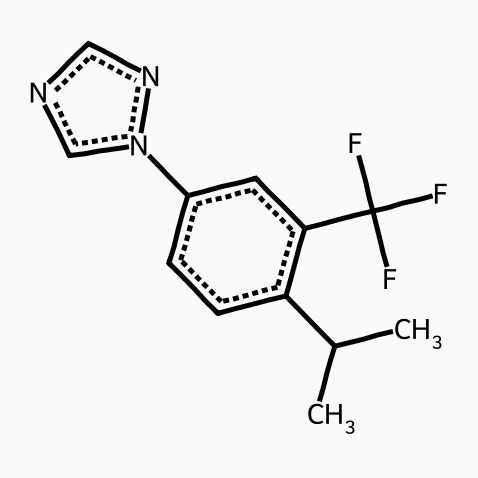 CC(C)c1ccc(-n2cncn2)cc1C(F)(F)F